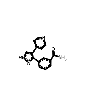 NC(=O)c1cccc(-c2n[nH]cc2-c2ccncc2)c1